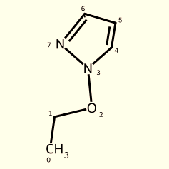 CCOn1cc[c]n1